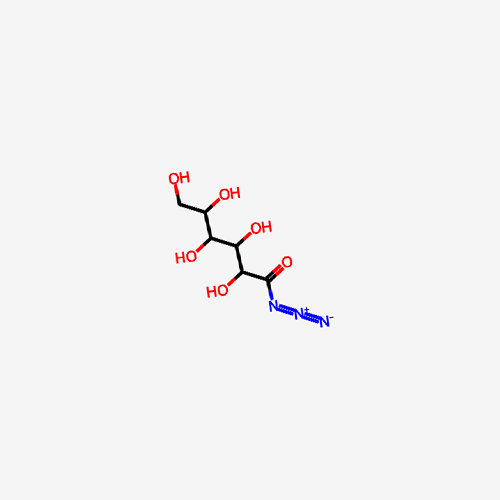 [N-]=[N+]=NC(=O)C(O)C(O)C(O)C(O)CO